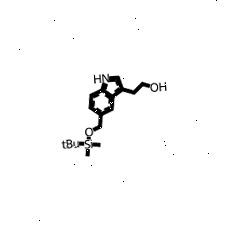 CC(C)(C)[Si](C)(C)OCc1ccc2[nH]cc(CCO)c2c1